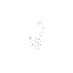 CC(Nc1nc(F)cc(N2C(=O)OCC2(C)C)n1)c1ccc(C(CC2CC2)N2CCNCC2)cc1